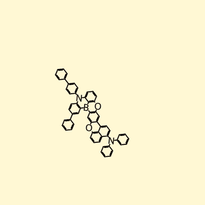 c1ccc(-c2ccc(N3c4ccc(-c5ccccc5)cc4B4c5cc6c(cc5Oc5cccc3c54)-c3ccc(N(c4ccccc4)c4ccccc4)c4cccc(c34)O6)cc2)cc1